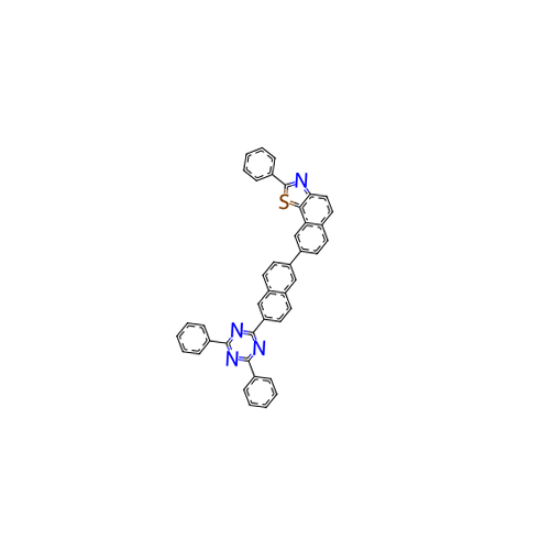 c1ccc(-c2nc(-c3ccccc3)nc(-c3ccc4cc(-c5ccc6ccc7nc(-c8ccccc8)sc7c6c5)ccc4c3)n2)cc1